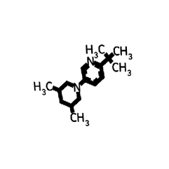 CC1CC(C)CN(c2ccc(C(C)(C)C)nc2)C1